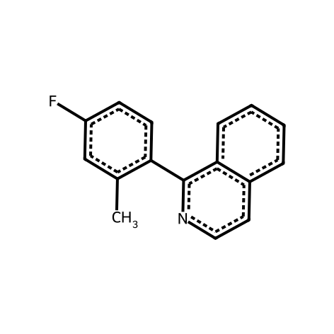 Cc1cc(F)ccc1-c1nccc2ccccc12